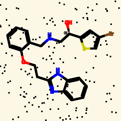 O[C@@H](CNCc1ccccc1OCCc1nc2ccccc2[nH]1)c1cc(Br)cs1